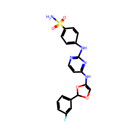 NS(=O)(=O)c1ccc(Nc2nccc(NC3=COC(c4cccc(F)c4)O3)n2)cc1